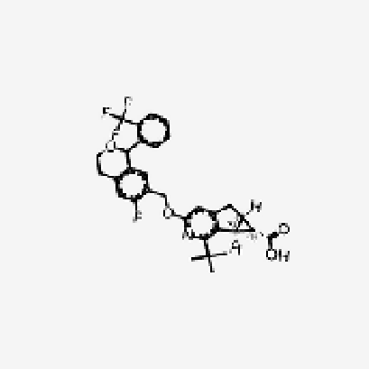 CC(C)(C)c1nc(OCc2cc3c(cc2F)CCOC3c2ccccc2C(F)(F)F)cc2c1[C@H]1[C@@H](C2)[C@@H]1C(=O)O